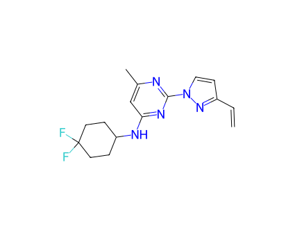 C=Cc1ccn(-c2nc(C)cc(NC3CCC(F)(F)CC3)n2)n1